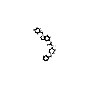 O=C(NC1CCN(Cc2ccccc2)CC1)Oc1ccc2c(c1)CCN2Cc1ccccc1